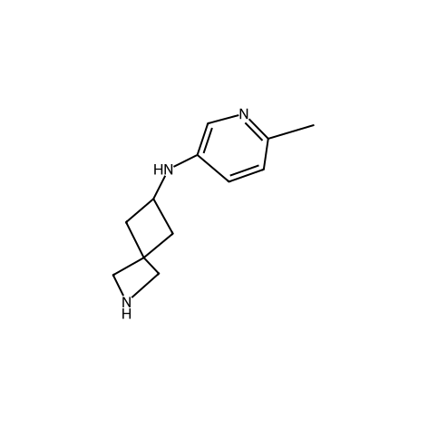 Cc1ccc(NC2CC3(CNC3)C2)cn1